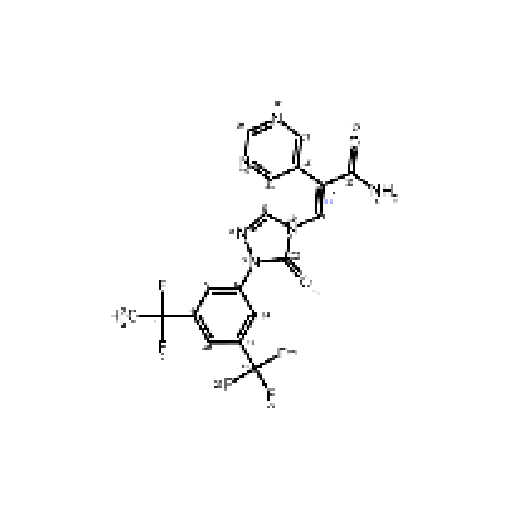 CC(F)(F)c1cc(-n2ncn(/C=C(/C(N)=O)c3cncnc3)c2=O)cc(C(F)(F)F)c1